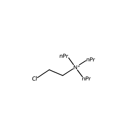 CCC[N+](CCC)(CCC)CCCl